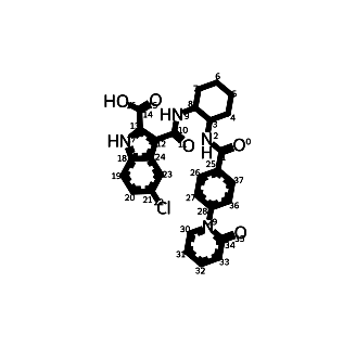 O=C(NC1CCCCC1NC(=O)c1c(C(=O)O)[nH]c2ccc(Cl)cc12)c1ccc(-n2ccccc2=O)cc1